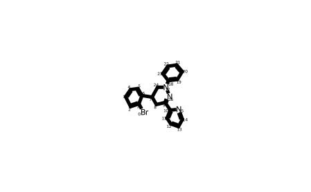 Brc1ccccc1C1CC(c2ccccn2)=NN(c2ccccc2)C1